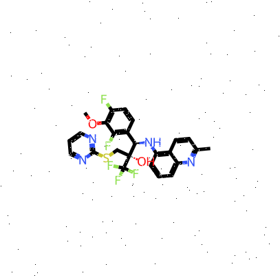 COc1c(F)ccc([C@@H](Nc2cccc3nc(C)ccc23)[C@](O)(CSc2ncccn2)C(F)(F)F)c1F